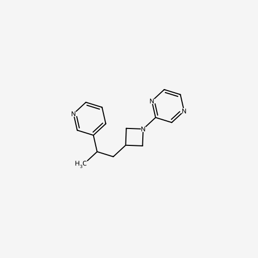 CC(CC1CN(c2cnccn2)C1)c1cccnc1